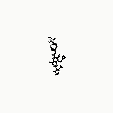 CCS(=O)(=O)c1ccc(CNc2nc3c(C)nc(-c4c(C)ncnc4C4CC4)nc3n([C@@H](C)C3CC3)c2=O)cn1